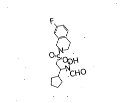 O=CN(O)C(CS(=O)(=O)N1CCc2ccc(F)cc2C1)C1CCCC1